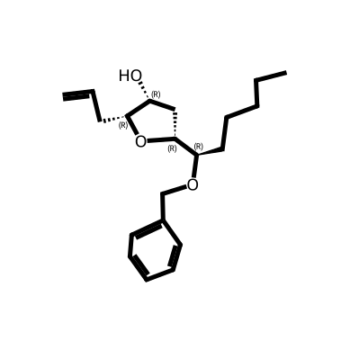 C=CC[C@H]1O[C@@H]([C@@H](CCCCC)OCc2ccccc2)C[C@H]1O